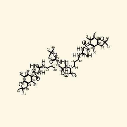 Cc1c(C)c(S(=O)(=O)NC(=N)NCCC[C@H](NC(=O)[C@H](CCCNC(=N)NS(=O)(=O)c2c(C)c(C)c3c(c2C)CC(C)(C)O3)NC(=O)OC(C)(C)C)C(=O)O)c(C)c2c1OC(C)(C)C2